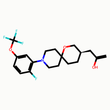 C=C(O)C[C@H]1CCC2(CCN(c3cc(OC(F)(F)F)ccc3F)CC2)OC1